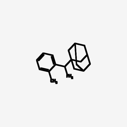 Cc1ccccc1C(P)C12CC3CC(CC(C3)C1)C2